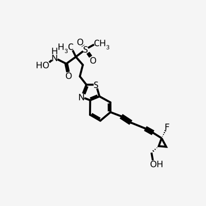 CC(CCc1nc2ccc(C#CC#C[C@@]3(F)C[C@@H]3CO)cc2s1)(C(=O)NO)S(C)(=O)=O